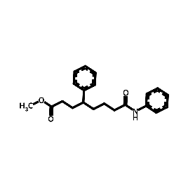 COC(=O)CCC(CCCC(=O)Nc1ccccc1)c1ccccc1